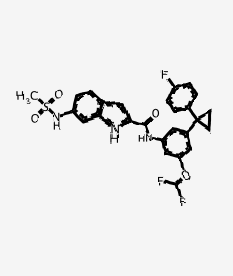 CS(=O)(=O)Nc1ccc2cc(C(=O)Nc3cc(OC(F)F)cc(C4(c5ccc(F)cc5)CC4)c3)[nH]c2c1